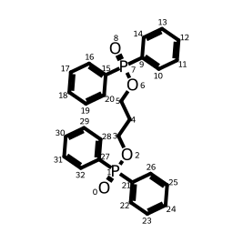 O=P(OCCCOP(=O)(c1ccccc1)c1ccccc1)(c1ccccc1)c1ccccc1